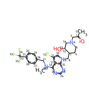 CC(=O)CN1CCC(Cn2cc(F)c3c(N(C)Cc4ccc(C(F)(F)F)cc4)ncnc32)[C@@H](O)C1